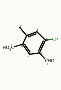 Cc1cc(Cl)c(C=O)cc1C(=O)O